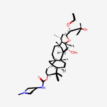 CCO[C@@H]([C@H]1C[C@@H](C)C2[C@H](O1)[C@H](O)[C@@]1(C)[C@@H]3CC[C@H]4C(C)(C)[C@@H](OC(=O)NC5CN(C)C5)CC[C@@]45C[C@@]35CC[C@]21C)C(C)(C)O